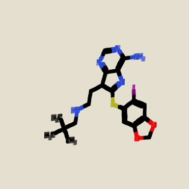 CC(C)(C)CNCCC1C(Sc2cc3c(cc2I)OCO3)=Nc2c(N)ncnc21